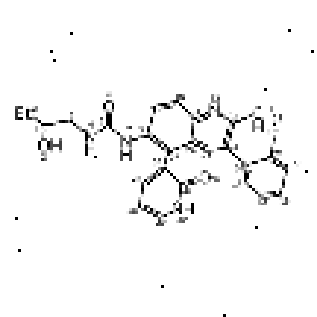 CCC(O)CNC(=O)Nc1ccc2nc(C)c(-c3ccccc3F)cc2c1-c1ccc[nH]c1=O